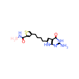 BNC(=O)c1cc(CCCCc2cc3c(=O)[nH]c(N)nc3[nH]2)cs1